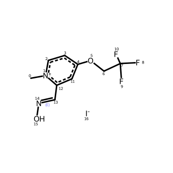 C[n+]1ccc(OCC(F)(F)F)cc1/C=N/O.[I-]